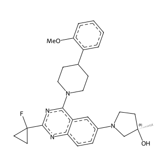 COc1ccccc1C1CCN(c2nc(C3(F)CC3)nc3ccc(N4CC[C@@](C)(O)C4)cc23)CC1